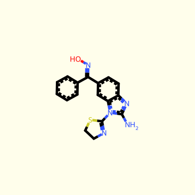 Nc1nc2ccc(/C(=N/O)c3ccccc3)cc2n1C1=NCCS1